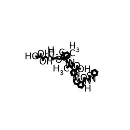 Cc1c(-c2ccc(N3CCc4cccc(C(=O)Nc5nc6ccccc6s5)c4C3)nc2C(=O)O)cnn1CC12CC3(C)CC(C)(C1)CC(OCCNCCC(O)C(O)CO)(C3)C2